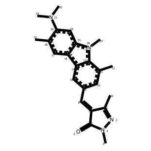 CC1=NN(C)C(=O)/C1=C/c1cc(C)c2c(c1)c1cc(C)c(N(C)C)cc1n2C